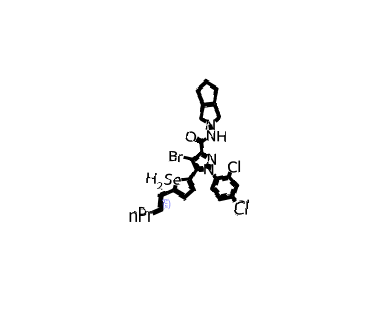 CCC/C=C/C1=CC=C(c2c(Br)c(C(=O)NN3CC4CCCC4C3)nn2-c2ccc(Cl)cc2Cl)[SeH2]1